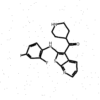 O=C(c1c(Nc2ccc(I)cc2F)sc2ncccc12)C1CCNCC1